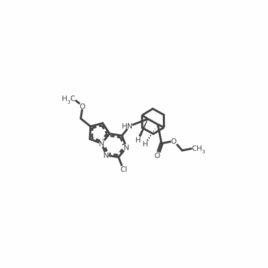 CCOC(=O)[C@@H]1C2CCC(CC2)[C@H]1Nc1nc(Cl)nn2cc(COC)cc12